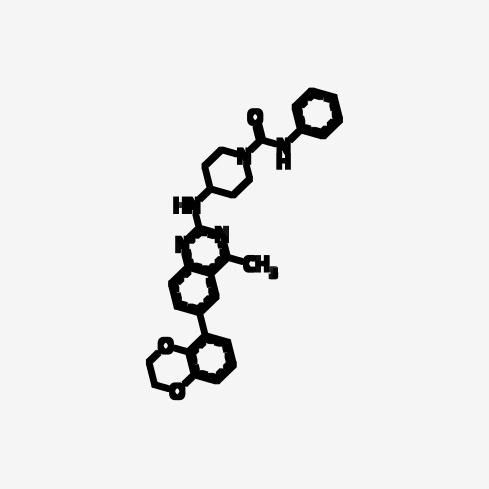 Cc1nc(NC2CCN(C(=O)Nc3ccccc3)CC2)nc2ccc(-c3cccc4c3OCCO4)cc12